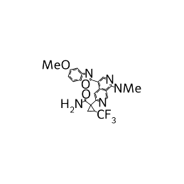 CNc1ncc(-c2nc3cc(OC)ccc3o2)c2cc(C3(C(N)=O)CC3C(F)(F)F)ncc12